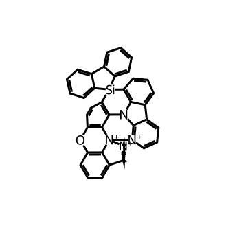 c1ccc2c(c1)-c1ccccc1[Si]21c2ccc3c4c2-n2c5c1cccc5c1ccc[n+](c12)[N+]41c2c(cccc2-c2cccc[n+]21)O3